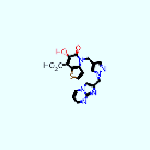 O=C(O)c1c(O)c(=O)n(Cc2cnn(Cc3cn4cccnc4n3)c2)c2ccsc12